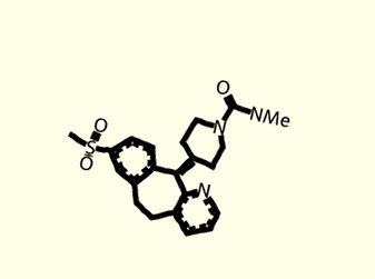 CNC(=O)N1CCC(=C2c3ccc(S(C)(=O)=O)cc3CCc3cccnc32)CC1